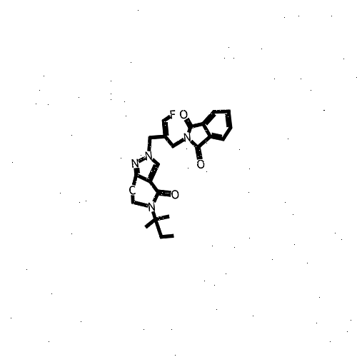 CCC(C)(C)N1CCc2nn(C/C(=C/F)CN3C(=O)c4ccccc4C3=O)cc2C1=O